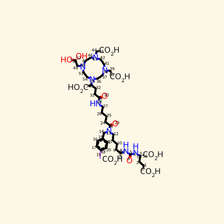 O=C(O)CC[C@H](NC(=O)N[C@@H](CCCCN(Cc1ccc(I)cc1)C(=O)CCCCNC(=O)CCC(C(=O)O)N1CCN(CC(=O)O)CCN(CC(=O)O)CCN(CC(O)O)CC1)C(=O)O)C(=O)O